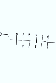 CC(F)(F)C(F)(F)C(F)(F)C(F)(F)C(F)(F)C(F)(F)CCC(I)I